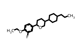 CCCC1CCC(C2CCC(c3ccc(OCC)c(F)c3)OC2)CC1